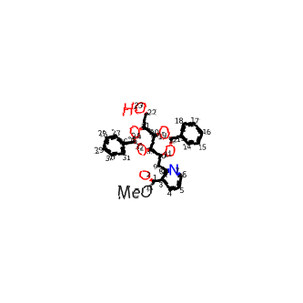 COC(=O)c1cccnc1CC1OC(c2ccccc2)OC2C(CO)OC(c3ccccc3)OC12